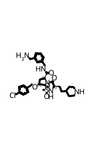 CS(=O)(=O)N[C@H](CCC1CCNCC1)C(=O)N1C[C@H](OCc2ccc(Cl)cc2)C[C@H]1C(=O)NCc1cccc(CN)c1